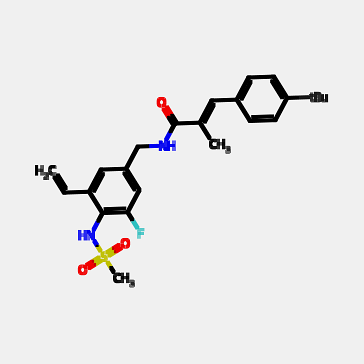 C=Cc1cc(CNC(=O)/C(C)=C/c2ccc(C(C)(C)C)cc2)cc(F)c1NS(C)(=O)=O